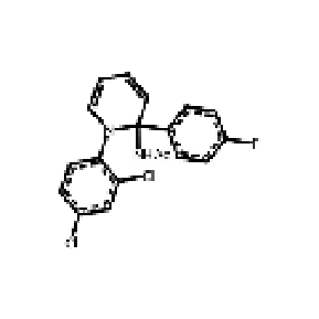 CC(=O)NC1(c2ccc(F)cc2)C=[C]C=CN1c1ccc(Cl)cc1Cl